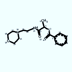 CC(SC(=S)c1ccccc1)C(=O)NCCN1CCOCC1